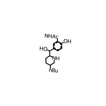 CCCCC1CCC(C(O)c2ccc(O)c(NC(C)=O)c2)NC1